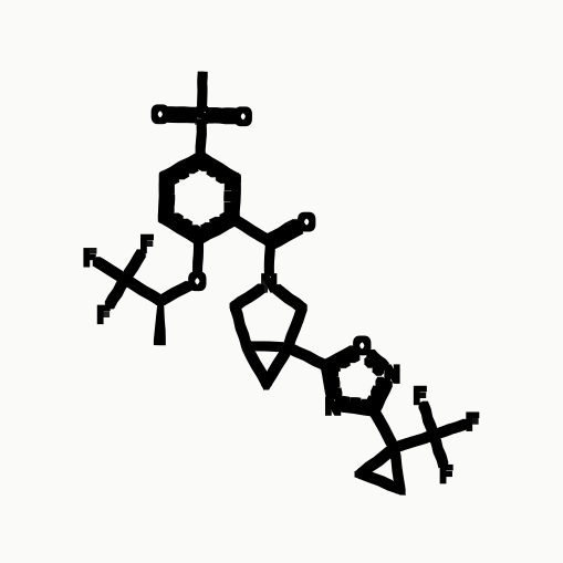 C[C@H](Oc1ccc(S(C)(=O)=O)cc1C(=O)N1CC2CC2(c2nc(C3(C(F)(F)F)CC3)no2)C1)C(F)(F)F